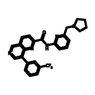 O=C(Nc1cccc(CN2CCCC2)n1)c1ccc2cncc(-c3cccc(C(F)(F)F)c3)c2n1